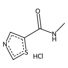 CNC(=O)c1cncs1.Cl